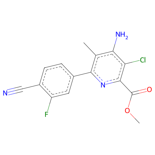 COC(=O)c1nc(-c2ccc(C#N)c(F)c2)c(C)c(N)c1Cl